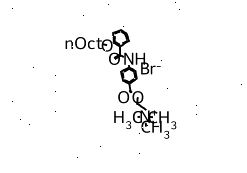 CCCCCCCCOc1ccccc1C(=O)Nc1ccc(C(=O)OCC[N+](C)(C)C)cc1.[Br-]